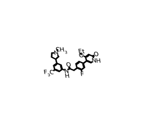 CCOc1cc(=O)[nH]cc1-c1ccc(CC(=O)Nc2cc(C3CCN(C)C3)cc(C(F)(F)F)c2)c(F)c1